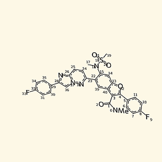 CNC(=O)c1c(-c2ccc(F)cc2)oc2cc(N(C)S(C)(=O)=O)c(-c3ccc4nc(-c5ccc(F)cc5)cn4n3)cc12